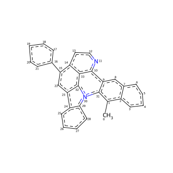 Cc1c2ccccc2cc2c3nccc4c(-c5ccccc5)cc5c6ccccc6n(c12)c5c43